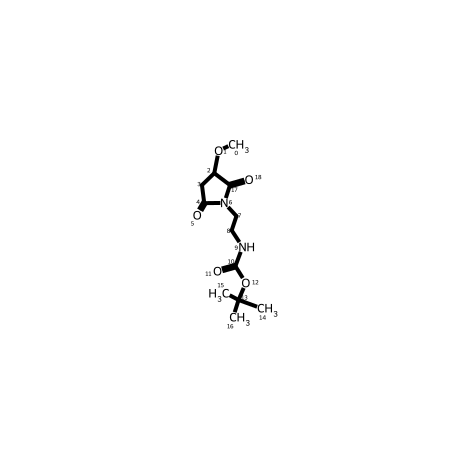 COC1CC(=O)N(CCNC(=O)OC(C)(C)C)C1=O